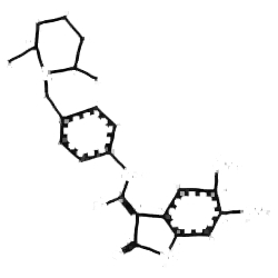 CCC(Nc1ccc(CN2C(C)CCCC2C)cc1)=C1C(=O)Nc2cc(OC)c(OC)cc21